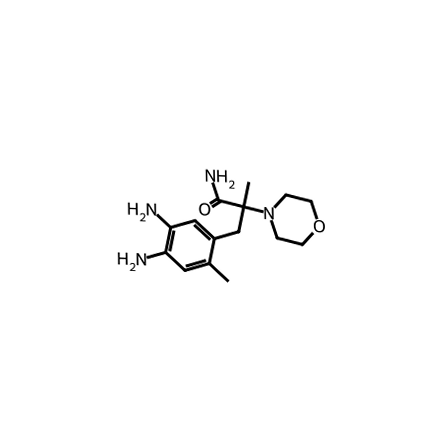 Cc1cc(N)c(N)cc1CC(C)(C(N)=O)N1CCOCC1